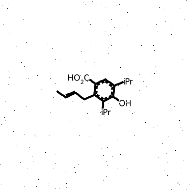 CC=CCc1c(C(=O)O)cc(C(C)C)c(O)c1C(C)C